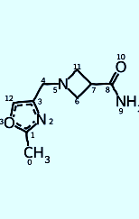 Cc1nc(CN2CC(C(N)=O)C2)co1